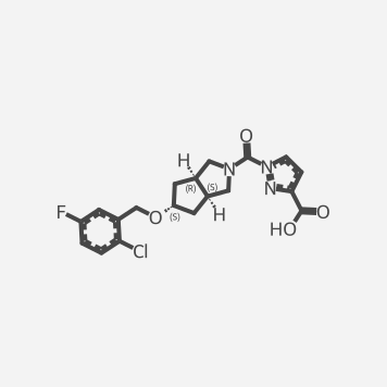 O=C(O)c1ccn(C(=O)N2C[C@H]3C[C@H](OCc4cc(F)ccc4Cl)C[C@H]3C2)n1